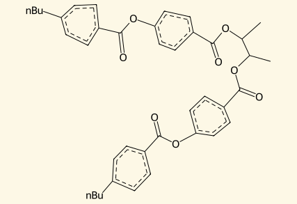 CCCCc1ccc(C(=O)Oc2ccc(C(=O)OC(C)C(C)OC(=O)c3ccc(OC(=O)c4ccc(CCCC)cc4)cc3)cc2)cc1